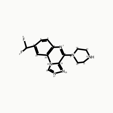 FC(F)c1ccc2nc(N3CCNCC3)c3nncn3c2c1